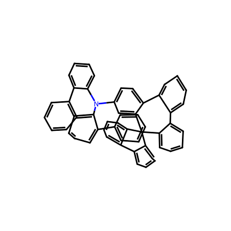 c1ccc(-c2ccccc2N(c2ccc3c(c2)C2(c4ccccc4-c4ccccc4-3)c3ccccc3-c3ccccc32)c2ccccc2-c2ccccc2)cc1